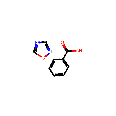 O=C(O)c1ccccc1.c1ncon1